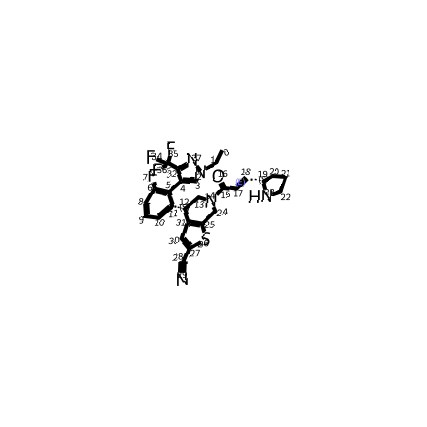 CCn1cc(-c2c(F)cccc2[C@@H]2CN(C(=O)/C=C/[C@@H]3CCCN3)Cc3sc(C#N)cc32)c(C(F)(F)F)n1